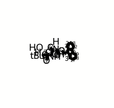 CC(C)(C)OC(=O)NC(C)(C)C(NC(=O)OCC1c2ccccc2C2C=CC=CC21)C(=O)O